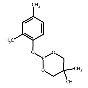 Cc1ccc(OP2OCC(C)(C)CO2)c(C)c1